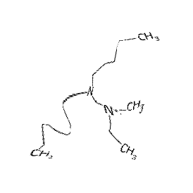 CCCCN(CCCC)[N+](C)CC